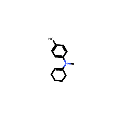 CN(C1=CCCCC1)c1ccc(C#N)cc1